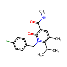 CNC(=O)c1cc(C)c(C(C)C)n(Cc2ccc(F)cc2)c1=O